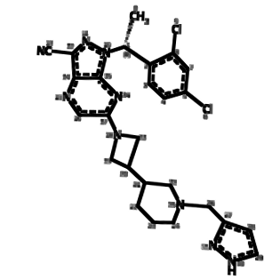 C[C@H](c1ccc(Cl)cc1Cl)n1nc(C#N)c2ncc(N3CC(C4CCCN(Cc5cc[nH]n5)C4)C3)nc21